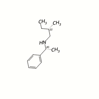 CC[C@H](C)CN[C@H](C)c1ccccc1